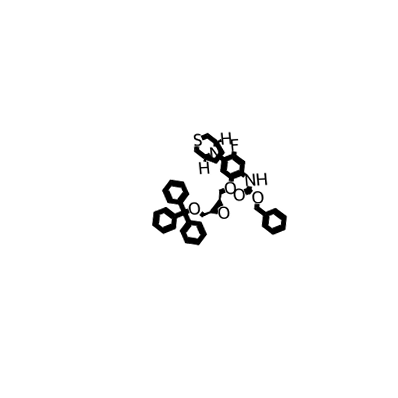 O=C(Nc1cc(F)c(N2[C@@H]3CC[C@H]2CSC3)cc1OC[C@H]1O[C@H]1COC(c1ccccc1)(c1ccccc1)c1ccccc1)OCc1ccccc1